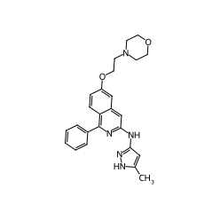 Cc1cc(Nc2cc3cc(OCCN4CCOCC4)ccc3c(-c3ccccc3)n2)n[nH]1